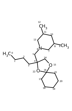 CCCCC1(CN2CC(C)CC(C)C2)COC2(CCCCC2)O1